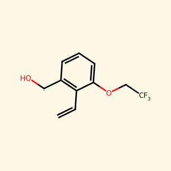 C=Cc1c([CH]O)cccc1OCC(F)(F)F